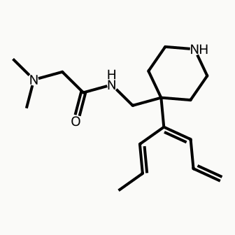 C=CC=C(C=CC)C1(CNC(=O)CN(C)C)CCNCC1